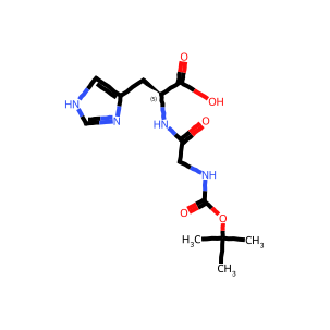 CC(C)(C)OC(=O)NCC(=O)N[C@@H](Cc1c[nH]cn1)C(=O)O